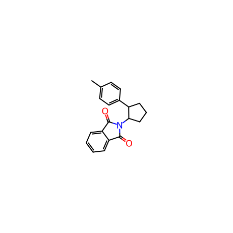 Cc1ccc(C2CCCC2N2C(=O)c3ccccc3C2=O)cc1